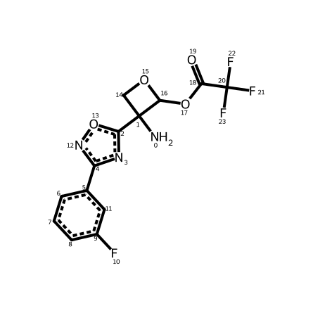 NC1(c2nc(-c3cccc(F)c3)no2)COC1OC(=O)C(F)(F)F